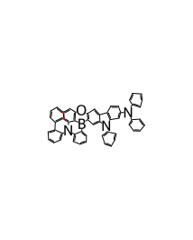 c1ccc(-c2ccccc2N2c3ccccc3B3c4cc5c(cc4Oc4cccc2c43)c2ccc(N(c3ccccc3)c3ccccc3)cc2n5-c2ccccc2)cc1